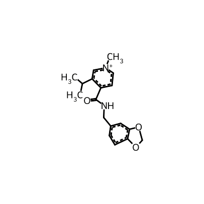 CC(C)c1c[n+](C)ccc1C(=O)NCc1ccc2c(c1)OCO2